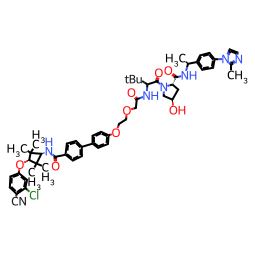 Cc1nccn1-c1ccc([C@H](C)NC(=O)[C@@H]2C[C@@H](O)CN2C(=O)C(NC(=O)COCCOc2ccc(-c3ccc(C(=O)N[C@H]4C(C)(C)[C@H](Oc5ccc(C#N)c(Cl)c5)C4(C)C)cc3)cc2)C(C)(C)C)cc1